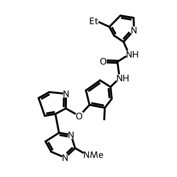 CCc1ccnc(NC(=O)Nc2ccc(Oc3ncccc3-c3ccnc(NC)n3)c(C)c2)c1